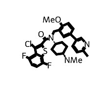 CN[C@H]1CC[C@H](N(Cc2cc(-c3ccc(C)nc3)ccc2OC)C(=O)c2sc3c(F)ccc(F)c3c2Cl)CC1